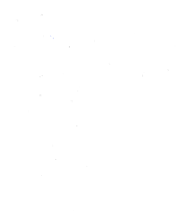 CCC(c1ccc(-c2ccccc2)cc1)(c1ccc(-c2ccccc2)cc1)C1CCCN1